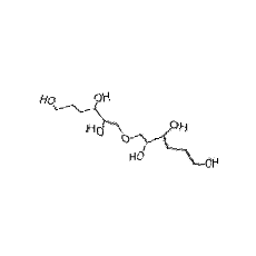 OCCCC(O)C(O)COCC(O)C(O)CCCO